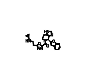 O=C(c1nnc(CCNC2CC2)o1)N1CCc2[nH]cnc2[C@H]1c1cc2ccccc2o1